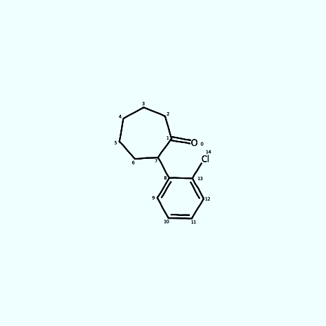 O=C1CCCCCC1c1ccccc1Cl